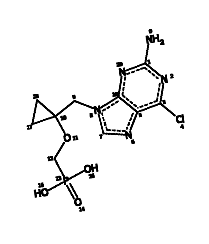 Nc1nc(Cl)c2ncn(CC3(OCP(=O)(O)O)CC3)c2n1